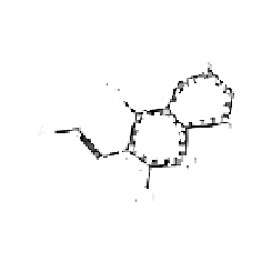 CCCC=Cc1c(C)nc2ccccc2c1O